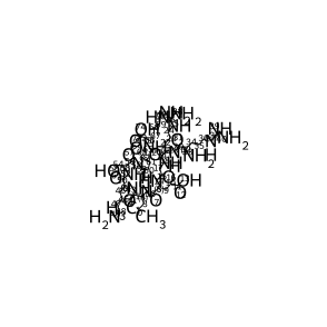 CC(C)C[C@H](NC(=O)[C@H](CCC(=O)O)NC(=O)CNC(=O)[C@H](CCCNC(=N)N)NC(=O)[C@@H](N)CCCNC(=N)N)C(=O)N[C@@H](CCCCN)C(=O)N[C@@H](CO)C(=O)N1CCC[C@H]1C(=O)N[C@@H](CCCCN)C(=O)O